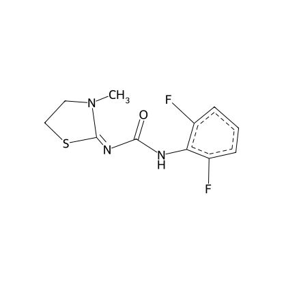 CN1CCSC1=NC(=O)Nc1c(F)cccc1F